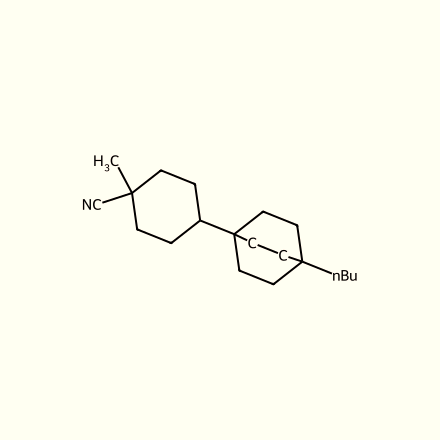 CCCCC12CCC(C3CCC(C)(C#N)CC3)(CC1)CC2